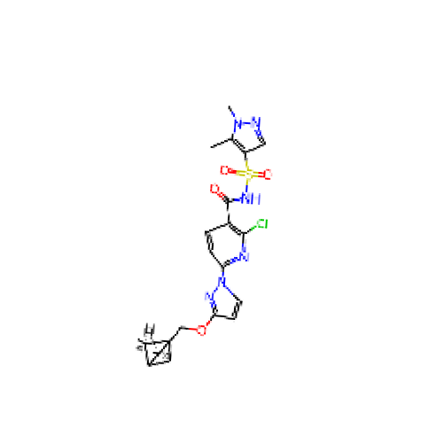 Cc1c(S(=O)(=O)NC(=O)c2ccc(-n3ccc(OCC45CC([C@H]4C)[C@H]5C)n3)nc2Cl)cnn1C